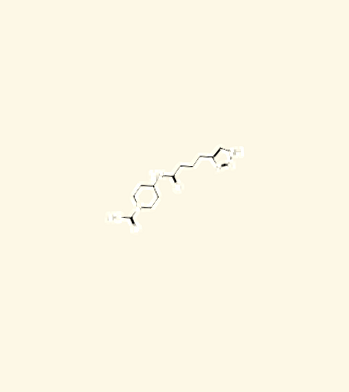 O=C(CCCc1c[nH]nn1)NC1CCN(C(=O)O)CC1